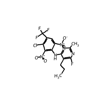 CCCc1c(F)nc(C)nc1Nc1c([N+](=O)[O-])cc(C(F)(F)F)c(Cl)c1[N+](=O)[O-]